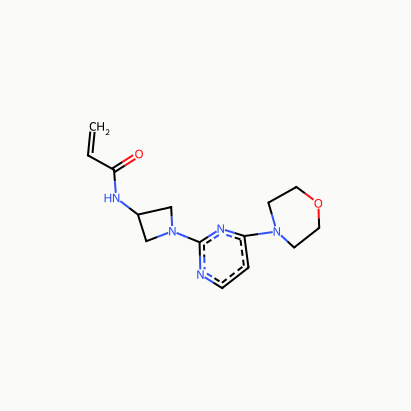 C=CC(=O)NC1CN(c2nccc(N3CCOCC3)n2)C1